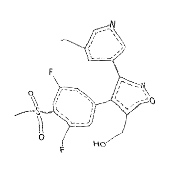 Cc1cncc(-c2noc(CO)c2-c2cc(F)c(S(C)(=O)=O)c(F)c2)c1